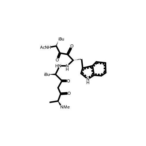 CC[C@H](C)C(NN[C@@H](Cc1c[nH]c2ccccc12)C(=O)C(=O)C(NC(C)=O)[C@@H](C)CC)C(=O)CC(=O)[C@H](C)NC